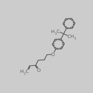 C=CC(=O)CCCOc1ccc(C(C)(C)c2ccccc2)cc1